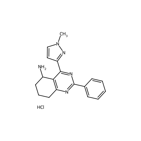 Cl.Cn1ccc(-c2nc(-c3ccccc3)nc3c2C(N)CCC3)n1